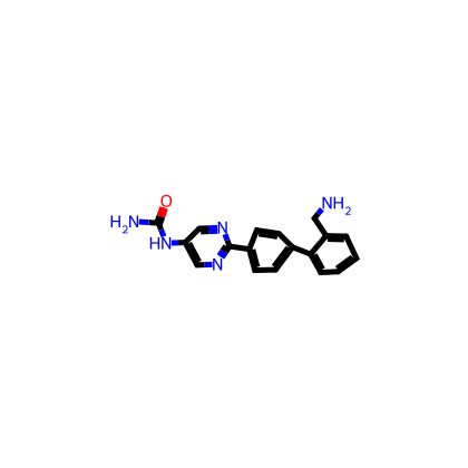 NCc1ccccc1-c1ccc(-c2ncc(NC(N)=O)cn2)cc1